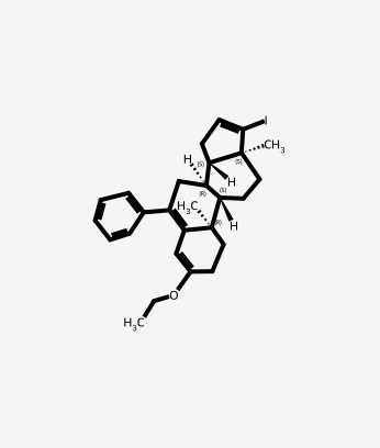 CCOC1=CC2=C(c3ccccc3)C[C@@H]3[C@H](CC[C@]4(C)C(I)=CC[C@@H]34)[C@@]2(C)CC1